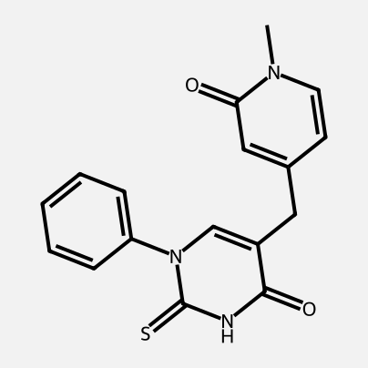 Cn1ccc(Cc2cn(-c3ccccc3)c(=S)[nH]c2=O)cc1=O